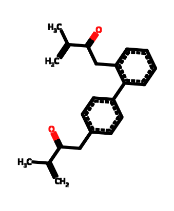 C=C(C)C(=O)Cc1ccc(-c2ccccc2CC(=O)C(=C)C)cc1